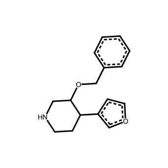 c1ccc(COC2CNCCC2c2ccoc2)cc1